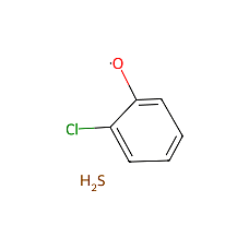 S.[O]c1ccccc1Cl